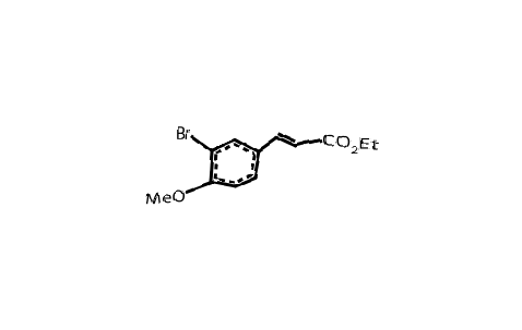 CCOC(=O)C=Cc1ccc(OC)c(Br)c1